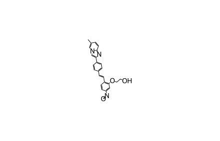 Cc1ccc2nc(-c3ccc(/C=C/c4ccc(N=O)cc4OCCO)cc3)cn2c1